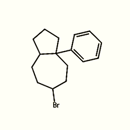 BrC1CCC2CCCC2(c2ccccc2)CC1